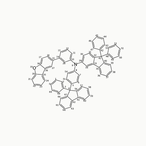 c1ccc(C2(c3ccc(N(c4cccc(-c5ccc6oc7ccccc7c6c5)c4)c4ccc5c(c4)-c4ccccc4C5(c4ccccc4)c4ccccc4)cc3)c3ccccc3-c3ccccc32)cc1